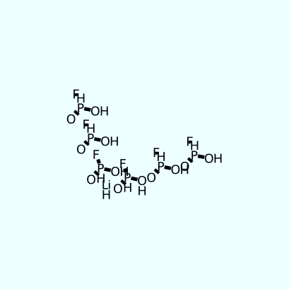 O=[PH](O)F.O=[PH](O)F.O=[PH](O)F.O=[PH](O)F.O=[PH](O)F.O=[PH](O)F.[LiH]